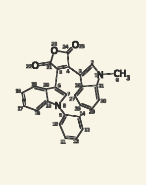 Cn1cc(C2=C(c3cn(-c4ccccc4)c4ccccc34)C(=O)OC2=O)c2ccccc21